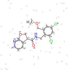 COCc1cc(Cl)cc(Cl)c1CNC(=O)C1COc2ncccc21